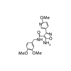 COc1ccc(-c2noc(N)c2C(=O)NCc2ccc(OC)c(OC)c2)cn1